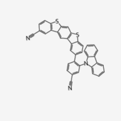 N#Cc1ccc(-c2ccc3sc4cc5sc6ccc(C#N)cc6c5cc4c3c2)c(-n2c3ccccc3c3ccccc32)c1